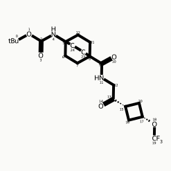 CC(C)(C)OC(=O)NC12CCC(C(=O)NCC(=O)[C@H]3C[C@@H](OC(F)(F)F)C3)(CC1)CC2